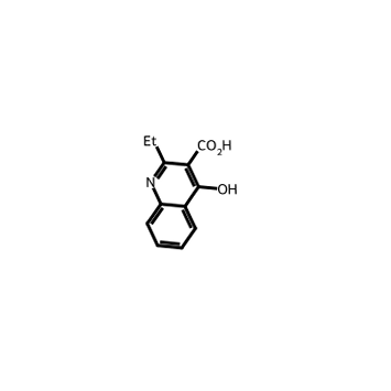 CCc1nc2ccccc2c(O)c1C(=O)O